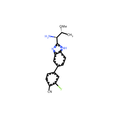 CO[C@H](C)[C@H](N)c1nc2cc(-c3ccc(C#N)c(F)c3)ccc2[nH]1